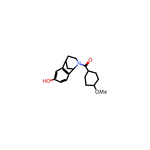 COC1CCC(C(=O)N2CCC3CC2c2ccc(O)cc23)CC1